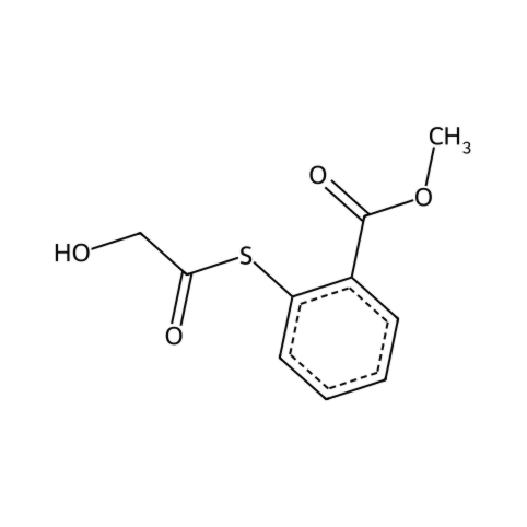 COC(=O)c1ccccc1SC(=O)CO